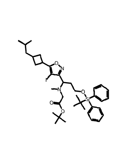 CC(C)CC1CC(c2onc(C(CCO[Si](c3ccccc3)(c3ccccc3)C(C)(C)C)N(C)CC(=O)OC(C)(C)C)c2I)C1